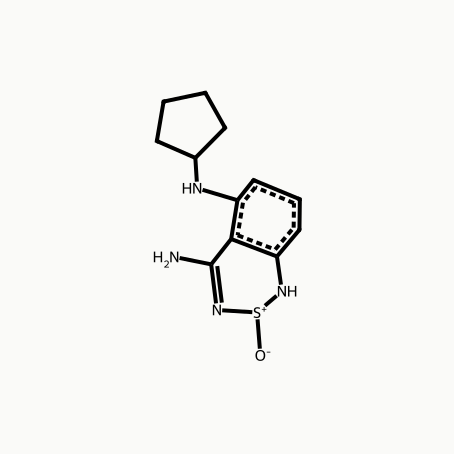 NC1=N[S+]([O-])Nc2cccc(NC3CCCC3)c21